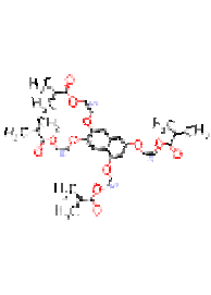 C=C(C)C(=O)O/C=C\Oc1cc(O/C=C\OC(=O)C(=C)C)c2cc(O/C=C\OC(=O)C(=C)C)c(O/C=C\OC(=O)C(=C)C)cc2c1